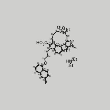 CCNCC.CCc1c2c(nn1C)CN(CC)S(=O)(=O)CCCn1c(C(=O)O)c(CCCOc3cccc4cc(F)ccc34)c3ccc(Cl)c-2c31